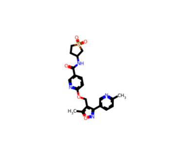 Cc1ccc(-c2noc(C)c2COc2ccc(C(=O)NC3CCS(=O)(=O)C3)cn2)cn1